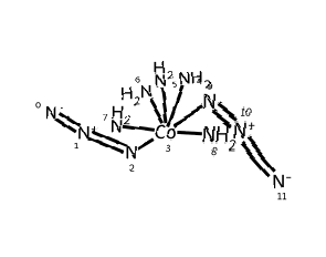 [N-]=[N+]=[N][Co]([NH2])([NH2])([NH2])([NH2])([NH2])[N]=[N+]=[N-]